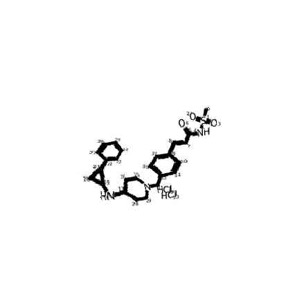 CS(=O)(=O)NC(=O)/C=C/c1ccc(CN2CCC(NC3CC3c3ccccc3)CC2)cc1.Cl.Cl